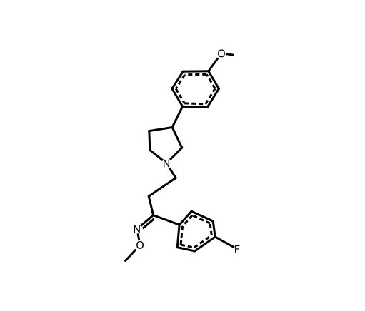 CO/N=C(/CCN1CCC(c2ccc(OC)cc2)C1)c1ccc(F)cc1